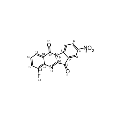 O=C1c2cc([N+](=O)[O-])ccc2-n2c1nc1c(F)cccc1c2=O